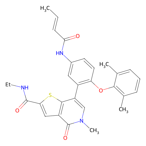 CC=CC(=O)Nc1ccc(Oc2c(C)cccc2C)c(-c2cn(C)c(=O)c3cc(C(=O)NCC)sc23)c1